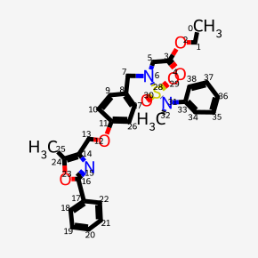 CCOC(=O)CN(Cc1ccc(OCc2nc(-c3ccccc3)oc2C)cc1)S(=O)(=O)N(C)c1ccccc1